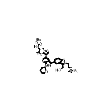 C[C@@H](CNC(=O)OC(C)(C)C)Oc1c(-c2cnc3c(c2)c(-c2ccc4nn(CCO[Si](C)(C)C(C)(C)C)c(CO)c4c2)nn3C2CCCCO2)cnn1C